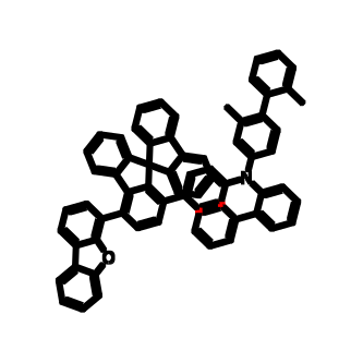 Cc1ccccc1-c1ccc(N(c2ccc(-c3ccc(-c4cccc5c4oc4ccccc45)c4c3C3(c5ccccc5-c5ccccc53)c3ccccc3-4)cc2)c2ccccc2-c2ccccc2)cc1C